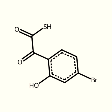 O=C(S)C(=O)c1ccc(Br)cc1O